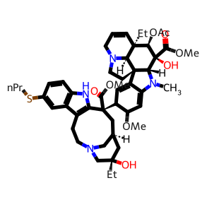 CCCSc1ccc2[nH]c3c(c2c1)CCN1C[C@H](C[C@@](O)(CC)C1)C[C@]3(C(=O)OC)C1C=C2C(=CC1OC)N(C)[C@H]1[C@@](O)(C(=O)OC)[C@H](OC(C)=O)[C@]3(CC)C=CCN4CC[C@]21[C@@H]43